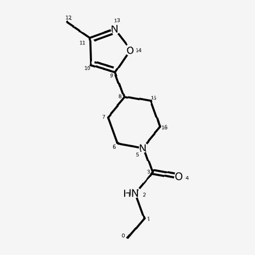 CCNC(=O)N1CCC(c2cc(C)no2)CC1